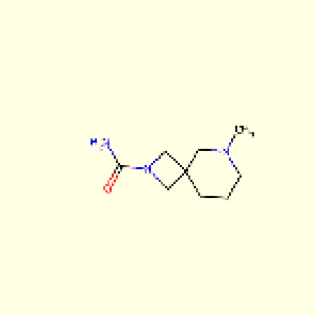 CN1CCCC2(C1)CN(C(N)=O)C2